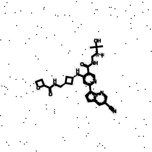 CC(C)(O)[C@H](F)CNC(=O)c1cnc(-c2ccc3cc(C#N)cnn23)cc1N[C@H]1C[C@H](CNC(=O)C2CCO2)C1